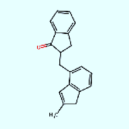 CC1=Cc2c(cccc2CC2Cc3ccccc3C2=O)C1